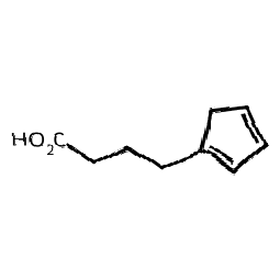 O=C(O)CCCC1=CC=CC1